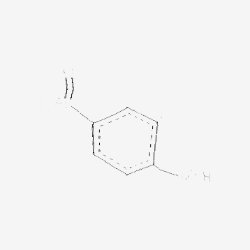 O=[AsH2]c1ccc(S(=O)(=O)O)cc1